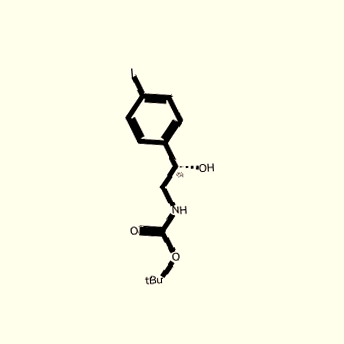 CC(C)(C)OC(=O)NC[C@@H](O)c1ccc(I)cc1